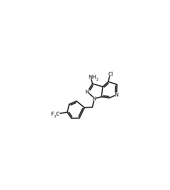 Nc1nn(Cc2ccc(C(F)(F)F)cc2)c2cncc(Cl)c12